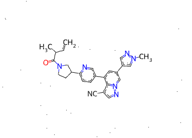 C=CC(C)C(=O)N1CCC(c2ccc(-c3cc(-c4cnn(C)c4)cn4ncc(C#N)c34)cn2)C1